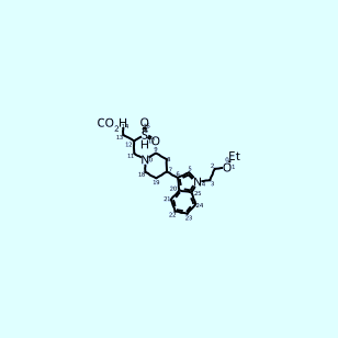 CCOCCn1cc(C2CCN(CC(CC(=O)O)[SH](=O)=O)CC2)c2ccccc21